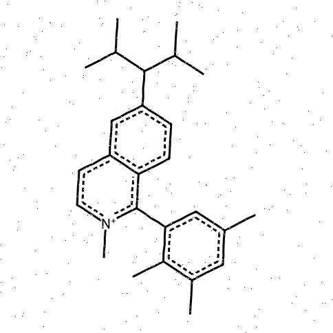 Cc1cc(C)c(C)c(-c2c3ccc(C(C(C)C)C(C)C)cc3cc[n+]2C)c1